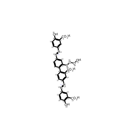 O=C(O)c1cc(/N=N/c2ccc(-c3ccc(/N=N/c4ccc(O)c(C(=O)O)c4)cc3S(=O)(=O)O)c(SOOO)c2)ccc1O